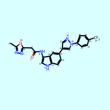 Cc1nnc(CC(=O)Nc2c[nH]c3ccc(-c4cnn(-c5ccc(C(F)(F)F)cc5)c4)cc23)o1